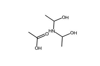 CC(=O)O.CC(O)NC(C)O